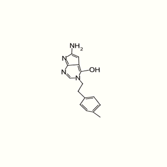 Cc1ccc(CCn2cnc3nc(N)cc-3c2O)cc1